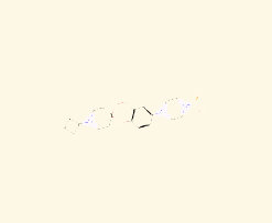 O=[SH](=O)N1CCN(c2ccc3c(c2)COC2(CCN(C4CCC4)CC2)O3)CC1